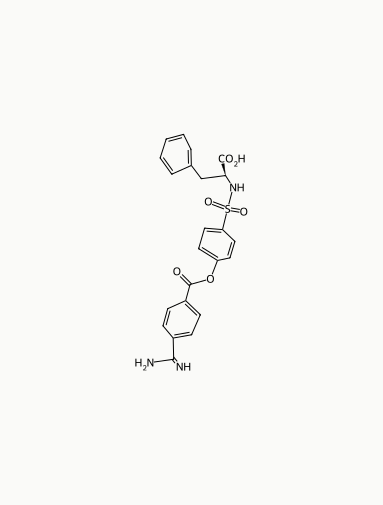 N=C(N)c1ccc(C(=O)Oc2ccc(S(=O)(=O)N[C@@H](Cc3ccccc3)C(=O)O)cc2)cc1